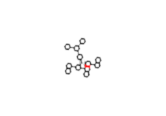 c1ccc(-c2cc(-c3ccccc3)cc(-c3ccc(N(c4ccc(-c5cccc6ccccc56)cc4)c4cc(-c5cccc6ccccc56)ccc4-c4cccc5ccccc45)cc3)c2)cc1